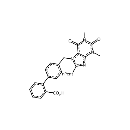 CCCCCc1nc2c(c(=O)n(C)c(=O)n2C)n1Cc1ccc(-c2ccccc2C(=O)O)cc1